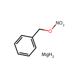 O=[N+]([O-])OCc1ccccc1.[MgH2]